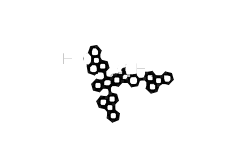 CC12C=CC=CC1c1ccc(-c3c4ccccc4c(-c4ccc5c6c(cccc46)-c4ccccc4-5)c4cc5c(cc34)[Si](C)(C)C3CC(c4ccc6c7c(cccc47)C4=C6C=CCC4)CCC53)c3c1C2=CCC3